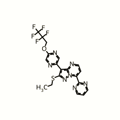 CCSc1nn2c(-c3ncccn3)ccnc2c1-c1cnc(OCC(F)(F)C(F)(F)F)cn1